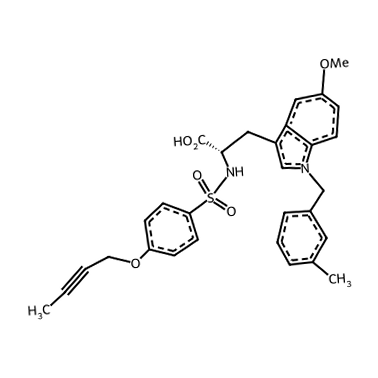 CC#CCOc1ccc(S(=O)(=O)N[C@@H](Cc2cn(Cc3cccc(C)c3)c3ccc(OC)cc23)C(=O)O)cc1